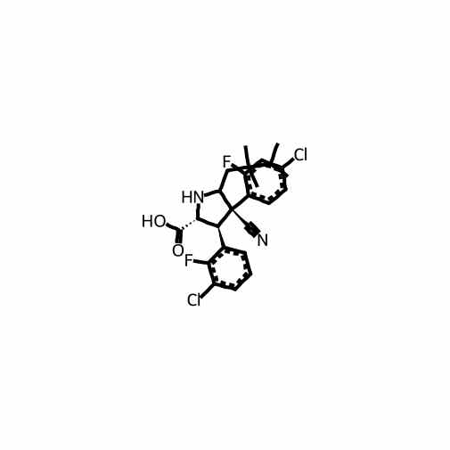 CC(C)C(C)(C)CC1N[C@@H](C(=O)O)[C@H](c2cccc(Cl)c2F)[C@@]1(C#N)c1ccc(Cl)cc1F